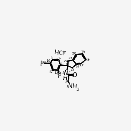 Cl.NCC(=O)NC1(c2ccc(F)cc2F)Cc2ccccc2C1